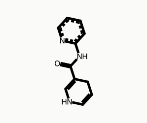 O=C(Nc1ccccn1)C1=CNC=CC1